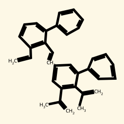 C=C(C)c1cccc(-c2ccccc2)c1C(=C)C.C=Cc1cccc(-c2ccccc2)c1C=C